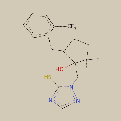 CC1(C)CCC(Cc2ccccc2C(F)(F)F)C1(O)Cn1ncnc1S